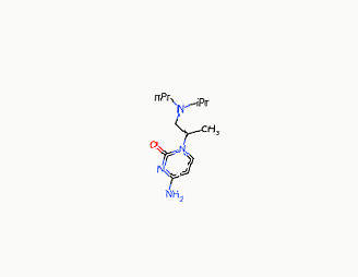 CCCN(CC(C)n1ccc(N)nc1=O)C(C)C